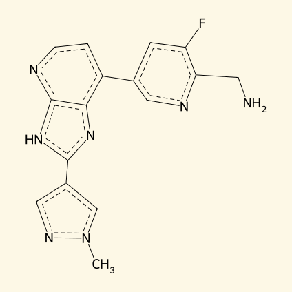 Cn1cc(-c2nc3c(-c4cnc(CN)c(F)c4)ccnc3[nH]2)cn1